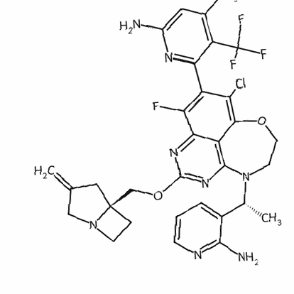 C=C1CN2CC[C@@]2(COc2nc3c4c(c(Cl)c(-c5nc(N)cc(C)c5C(F)(F)F)c(F)c4n2)OCCN3[C@H](C)c2cccnc2N)C1